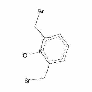 [O-][n+]1c(CBr)cccc1CBr